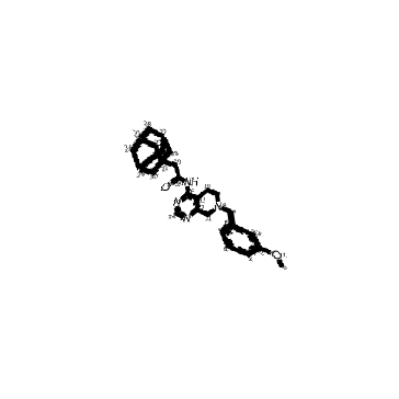 COc1cccc(CN2CCc3c(ncnc3NC(=O)CC34CC5CC(CC(C5)C3)C4)C2)c1